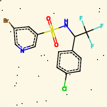 O=S(=O)(NC(c1ccc(Cl)cc1)C(F)(F)F)c1cncc(Br)c1